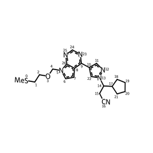 CSCCOCn1ccc2c(-c3cnn(C(CC#N)C4CCCC4)c3)ncnc21